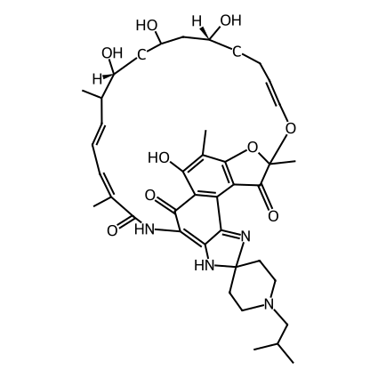 C/C1=C/C=C/C(C)[C@H](O)CC(O)C[C@H](O)CC/C=C/OC2(C)Oc3c(C)c(O)c4c(c3C2=O)C2=NC3(CCN(CC(C)C)CC3)NC2=C(NC1=O)C4=O